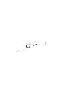 CC(C)(C)C(=O)Oc1ccc(CCCCC(=O)O)cc1